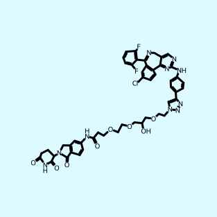 O=C1CCC(N2Cc3cc(NC(=O)CCOCCOCC(O)COCCn4cc(-c5ccc(Nc6ncc7c(n6)-c6ccc(Cl)cc6C(c6c(F)cccc6F)=NC7)cc5)nn4)ccc3C2=O)C(=O)N1